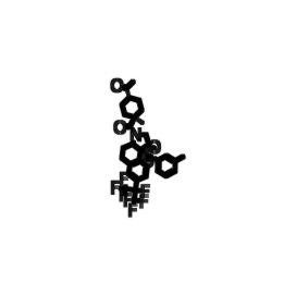 Cc1cccc(S(=O)(=O)C23CCN(C(=O)[C@]4(C)CC[C@@H](C(C)=O)CC4)C2CCc2cc(C(F)(C(F)(F)F)C(F)(F)F)ccc23)c1